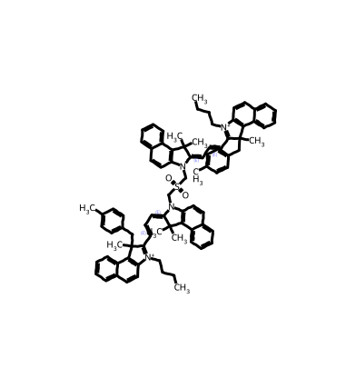 CCCC[N+]1=C(/C=C/C=C2/N(CS(=O)(=O)CN3/C(=C/C=C/C4=[N+](CCCC)c5ccc6ccccc6c5C4(C)Cc4ccc(C)cc4)C(C)(C)c4c3ccc3ccccc43)c3ccc4ccccc4c3C2(C)C)C(C)(Cc2ccc(C)cc2)c2c1ccc1ccccc21